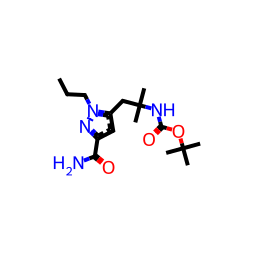 CCCn1nc(C(N)=O)cc1CC(C)(C)NC(=O)OC(C)(C)C